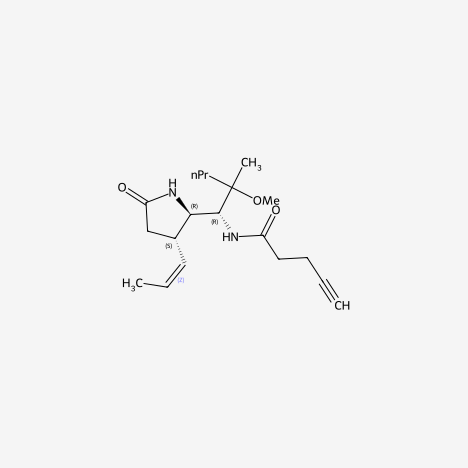 C#CCCC(=O)N[C@H]([C@@H]1NC(=O)C[C@H]1/C=C\C)C(C)(CCC)OC